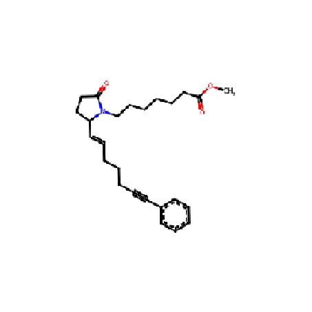 COC(=O)CCCCCCN1C(=O)CCC1/C=C/CCCC#Cc1ccccc1